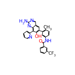 Cc1ccc(NC(=O)c2cccc(C(F)(F)F)c2)cc1-c1cc2cnc(N)nc2c(-c2ccccn2)c1O